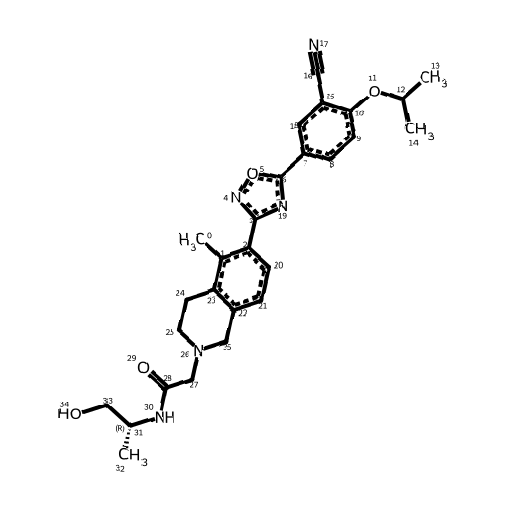 Cc1c(-c2noc(-c3ccc(OC(C)C)c(C#N)c3)n2)ccc2c1CCN(CC(=O)N[C@H](C)CO)C2